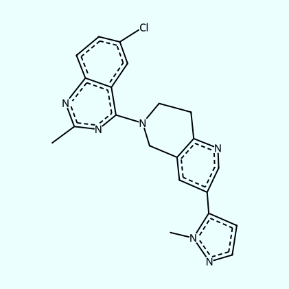 Cc1nc(N2CCc3ncc(-c4ccnn4C)cc3C2)c2cc(Cl)ccc2n1